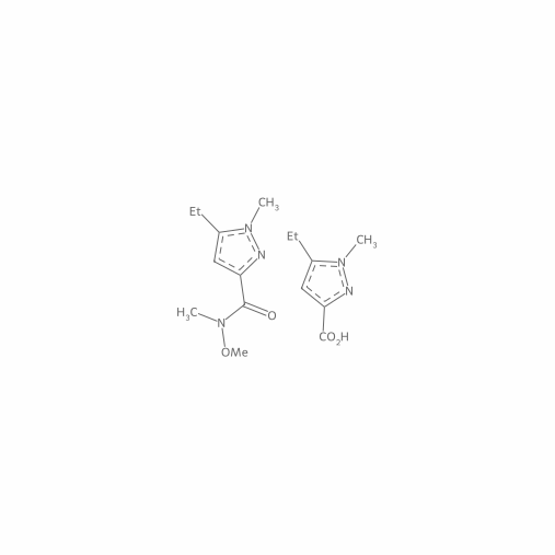 CCc1cc(C(=O)N(C)OC)nn1C.CCc1cc(C(=O)O)nn1C